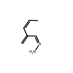 C=C(/C=C\C)/C=N\N